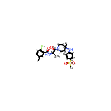 Cc1ccc(F)c(C(=O)N[C@@H](C(=O)N2CCC(C)(Nc3ccc(S(C)(=O)=O)cc3)CC2)C(C)C)c1